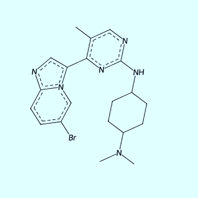 Cc1cnc(NC2CCC(N(C)C)CC2)nc1-c1cnc2ccc(Br)cn12